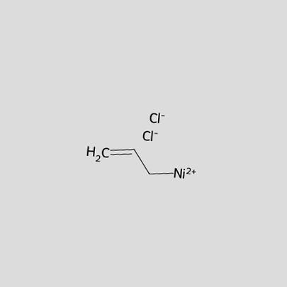 C=C[CH2][Ni+2].[Cl-].[Cl-]